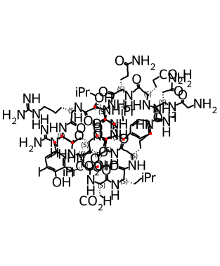 CC(C)C[C@H](NC(=O)[C@H](CC(=O)O)NC(=O)[C@@H](NC(=O)[C@H](CCCNC(=N)N)NC(=O)[C@H](Cc1ccccc1)NC(=O)[C@H](CO)NC(=O)[C@H](CCC(N)=O)NC(=O)[C@H](CCC(=O)O)NC(=O)[C@H](CC(N)=O)NC(=O)CN)C(C)C)C(=O)N[C@@H](CCCNC(=N)N)C(=O)N[C@H](C(=O)N[C@@H](CC(C)C)C(=O)N[C@@H](CC(C)C)C(=O)N[C@@H](CCCNC(=N)N)C(=O)N[C@@H](Cc1cc(I)c(O)c(I)c1)C(=O)N[C@@H](C)C(=O)O)[C@@H](C)O